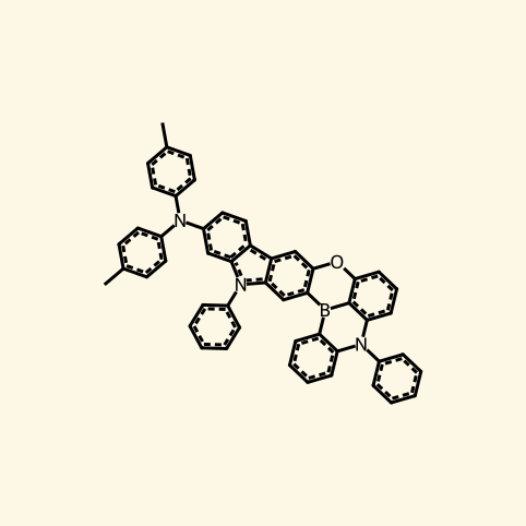 Cc1ccc(N(c2ccc(C)cc2)c2ccc3c4cc5c(cc4n(-c4ccccc4)c3c2)B2c3ccccc3N(c3ccccc3)c3cccc(c32)O5)cc1